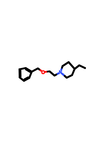 CCC1CCN(CCOCc2ccccc2)CC1